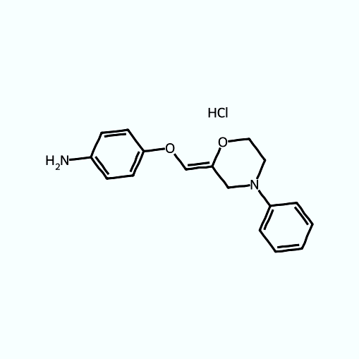 Cl.Nc1ccc(OC=C2CN(c3ccccc3)CCO2)cc1